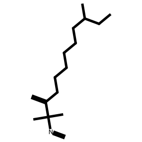 C=NC(C)(C)C(=C)CCCCCCC(C)CC